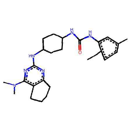 Cc1ccc(C)c(NC(=O)NC2CCC(Nc3nc4c(c(N(C)C)n3)CCCC4)CC2)c1